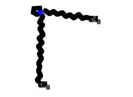 CCCCCCCCCCCCCCCCC[N+]1(CCCCCCCCCCCC)CCCC1